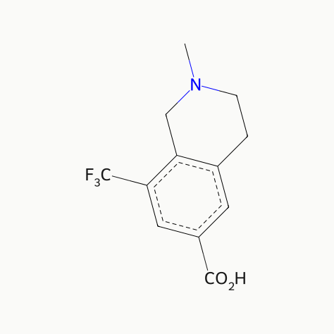 CN1CCc2cc(C(=O)O)cc(C(F)(F)F)c2C1